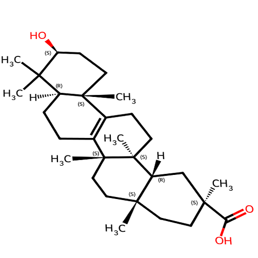 CC1(C)[C@@H](O)CC[C@]2(C)C3=C(CC[C@@H]12)[C@@]1(C)CC[C@@]2(C)CC[C@](C)(C(=O)O)C[C@H]2[C@]1(C)CC3